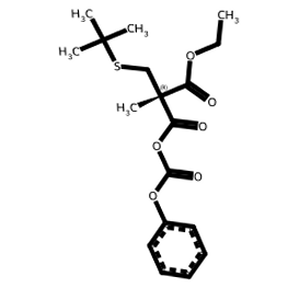 CCOC(=O)[C@@](C)(CSC(C)(C)C)C(=O)OC(=O)Oc1ccccc1